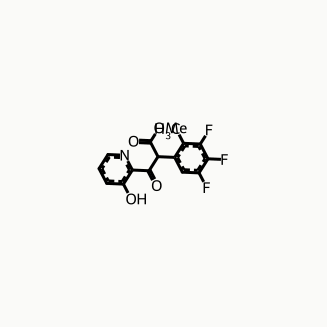 COC(=O)C(C(=O)c1ncccc1O)c1cc(F)c(F)c(F)c1C